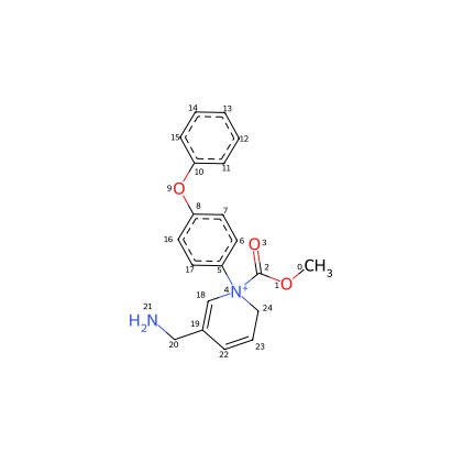 COC(=O)[N+]1(c2ccc(Oc3ccccc3)cc2)C=C(CN)C=CC1